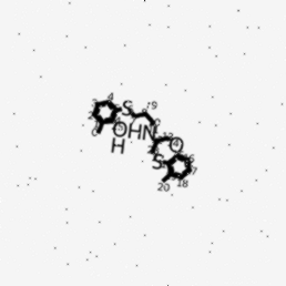 Cc1cccc(SC[C@H](C)CNC2COc3cccc(C)c3SC2)c1O